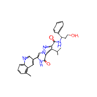 Cc1cccc2ncc(-c3cn4nc(C(=O)NC(CCO)c5ccccc5)c(C(C)C)c4c(=O)[nH]3)cc12